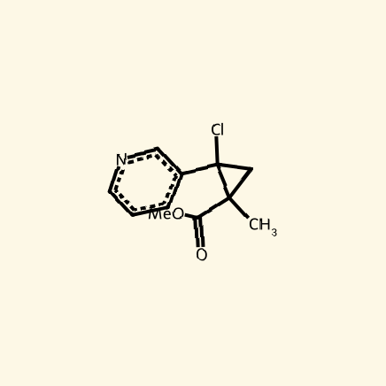 COC(=O)C1(C)CC1(Cl)c1cccnc1